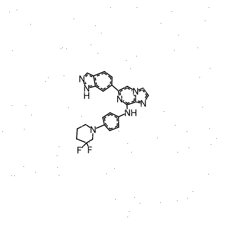 FC1(F)CCCN(c2ccc(Nc3nc(-c4ccc5cn[nH]c5c4)cn4ccnc34)cc2)C1